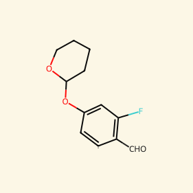 O=Cc1[c]cc(OC2CCCCO2)cc1F